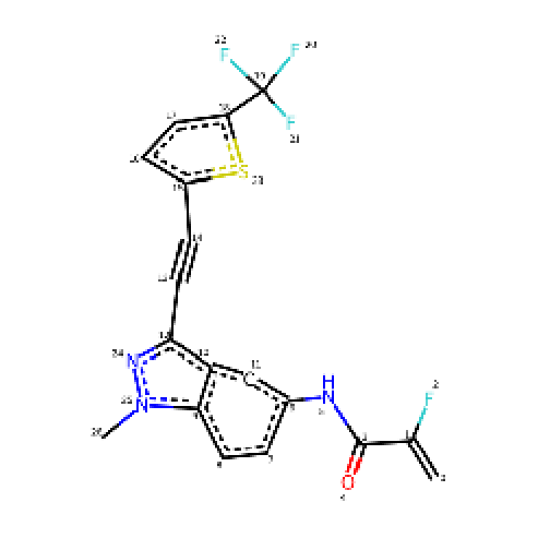 C=C(F)C(=O)Nc1ccc2c(c1)c(C#Cc1ccc(C(F)(F)F)s1)nn2C